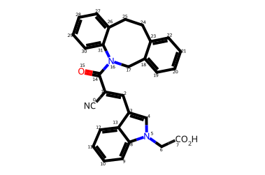 N#CC(=Cc1cn(CC(=O)O)c2ccccc12)C(=O)N1Cc2ccccc2CCc2ccccc21